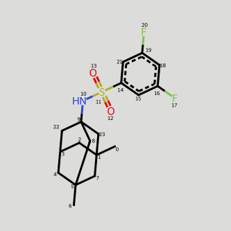 CC12CC3CC(C)(C1)CC(NS(=O)(=O)c1cc(F)cc(F)c1)(C3)C2